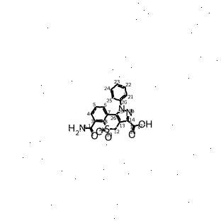 NC(=O)c1cccc2c1S(=O)(=O)Cc1c(C(=O)O)nn(-c3ccccc3)c1-2